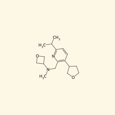 CC(C)c1ccc(C2CCOC2)c(CN(C)C2COC2)n1